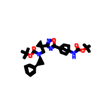 CC(C)(C)OC(=O)NC12CCC(c3nc(C4(CN(C(=O)OC(C)(C)C)[C@@H]5C[C@H]5c5ccccc5)CC4)no3)(CC1)CC2